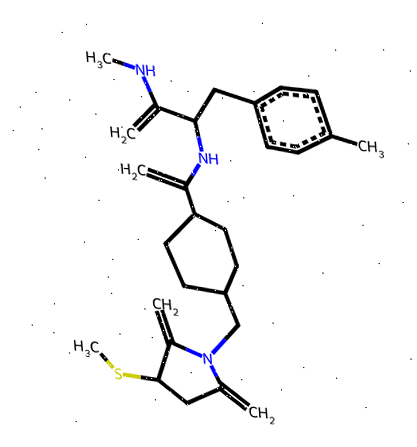 C=C(NC(Cc1ccc(C)cc1)C(=C)NC)C1CCC(CN2C(=C)CC(SC)C2=C)CC1